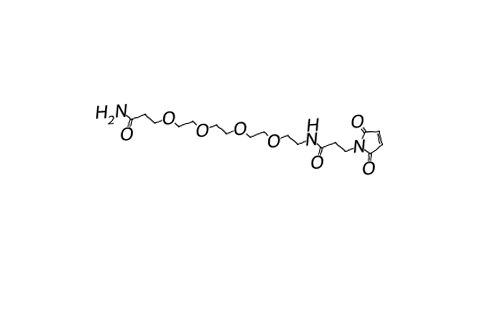 NC(=O)CCOCCOCCOCCOCCNC(=O)CCN1C(=O)C=CC1=O